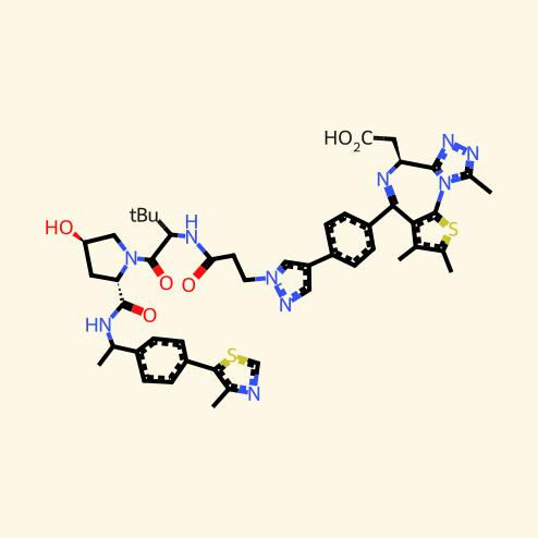 Cc1ncsc1-c1ccc(C(C)NC(=O)[C@@H]2C[C@@H](O)CN2C(=O)C(NC(=O)CCn2cc(-c3ccc(C4=N[C@@H](CC(=O)O)c5nnc(C)n5-c5sc(C)c(C)c54)cc3)cn2)C(C)(C)C)cc1